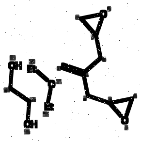 C=C(CC1CO1)CC1CO1.CCOCC.OCCO